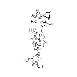 C[C@H](CCC[C@](O)(OC(=O)C(C)(C)C)c1nccs1)[C@H]1CC[C@H]2/C(=C/C=C3C[C@@H](O)C[C@H](O)C3)CCC[C@]12C